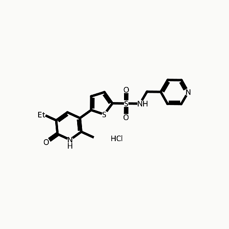 CCc1cc(-c2ccc(S(=O)(=O)NCc3ccncc3)s2)c(C)[nH]c1=O.Cl